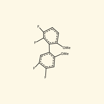 COc1cc(F)c(F)cc1-c1c(OC)ccc(F)c1F